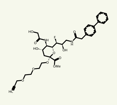 C#CCOCCOCCO[C@]1(C(=O)OC)C[C@H](O)[C@@H](NC(=O)CO)[C@H]([C@@H](F)[C@H](O)CNC(=O)Cc2ccc(-c3ccccc3)cc2)O1